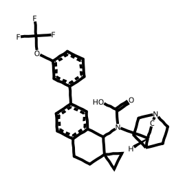 O=C(O)N(C1c2cc(-c3cccc(OC(F)(F)F)c3)ccc2CCC12CC2)[C@@H]1CN2CCC1CC2